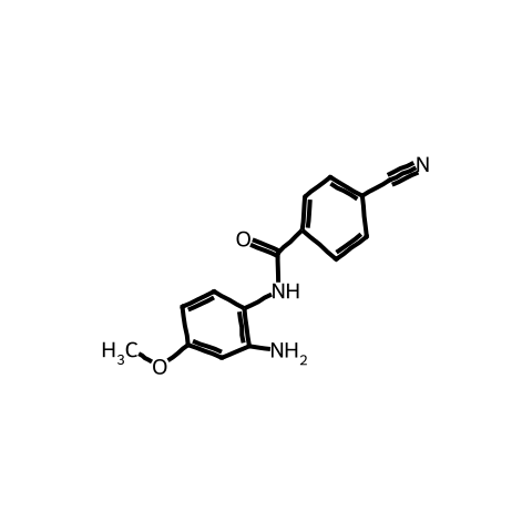 COc1ccc(NC(=O)c2ccc(C#N)cc2)c(N)c1